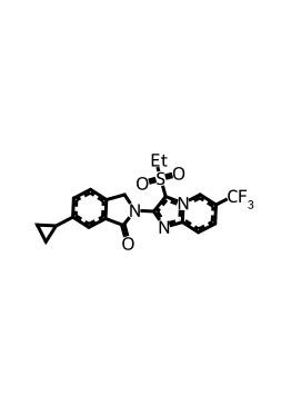 CCS(=O)(=O)c1c(N2Cc3ccc(C4CC4)cc3C2=O)nc2ccc(C(F)(F)F)cn12